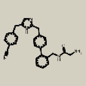 N#Cc1ccc(Cc2cnc(Cc3ccc(-c4ccccc4CNC(=O)CN)cc3)[nH]2)cc1